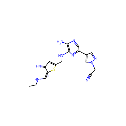 CCN/C=C1/SC(CNc2nc(-c3cnn(CC#N)c3)cnc2N)=CC1=N